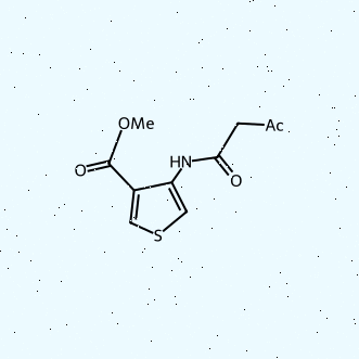 COC(=O)c1cscc1NC(=O)CC(C)=O